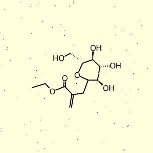 C=C(CC1O[C@H](CO)[C@@H](O)[C@H](O)[C@H]1O)C(=O)OCC